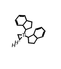 C1=CC2CC[CH]([Ti]3([CH]4CCC5C=CC=CC54)[CH2][CH2]3)C2C=C1.[H-].[H-]